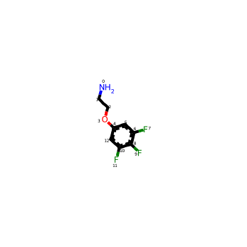 NCCOc1cc(F)c(F)c(F)c1